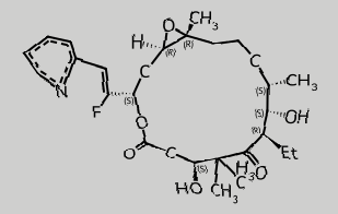 CC[C@H]1C(=O)C(C)(C)[C@@H](O)CC(=O)O[C@H](C(F)=Cc2ccccn2)C[C@H]2O[C@]2(C)CCC[C@H](C)[C@@H]1O